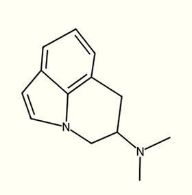 CN(C)C1Cc2cccc3ccn(c23)C1